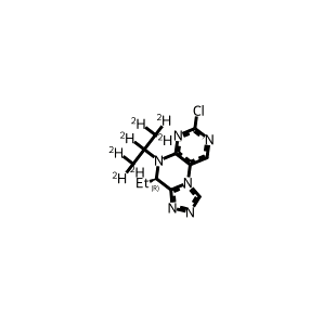 [2H]C([2H])([2H])C([2H])(N1c2nc(Cl)ncc2-n2cnnc2[C@H]1CC)C([2H])([2H])[2H]